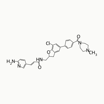 CN1CCN(C(=O)c2ccc(-c3cc(Cl)c4c(c3)CC(CNC(=O)C=Cc3ccc(N)nc3)O4)cc2)CC1